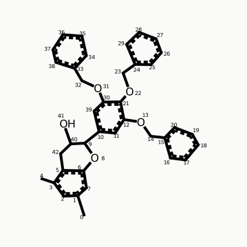 Cc1cc(C)c2c(c1)OC(c1cc(OCc3ccccc3)c(OCc3ccccc3)c(OCc3ccccc3)c1)C(O)C2